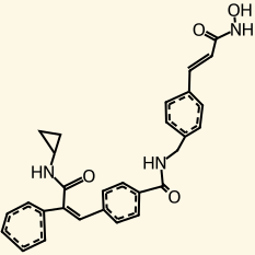 O=C(/C=C/c1ccc(CNC(=O)c2ccc(C=C(C(=O)NC3CC3)c3ccccc3)cc2)cc1)NO